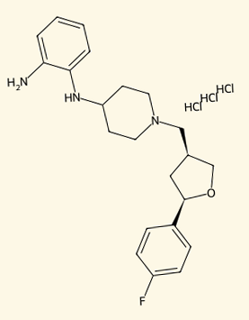 Cl.Cl.Cl.Nc1ccccc1NC1CCN(C[C@H]2CO[C@@H](c3ccc(F)cc3)C2)CC1